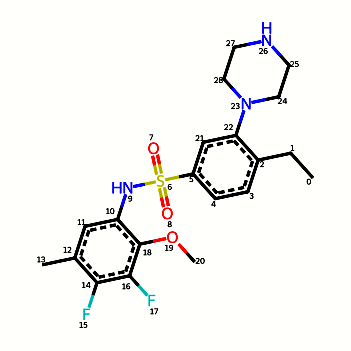 CCc1ccc(S(=O)(=O)Nc2cc(C)c(F)c(F)c2OC)cc1N1CCNCC1